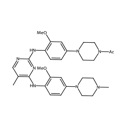 COc1cc(N2CCN(C(C)=O)CC2)ccc1Nc1ncc(C)c(Nc2ccc(N3CCN(C)CC3)cc2OC)n1